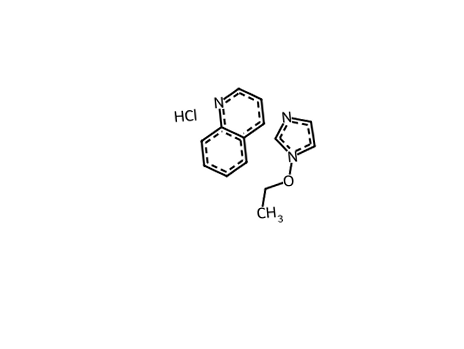 CCOn1ccnc1.Cl.c1ccc2ncccc2c1